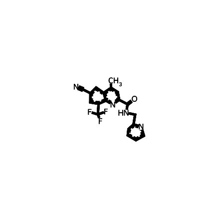 Cc1cc(C(=O)NCc2ccccn2)nc2c(C(F)(F)F)cc(C#N)cc12